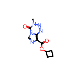 Cn1nnc2c(C(=O)OC3CCC3)ncn2c1=O